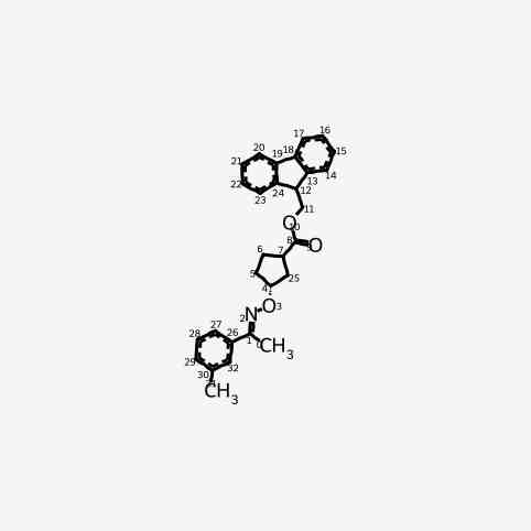 C/C(=N\O[C@@H]1CCC(C(=O)OCC2c3ccccc3-c3ccccc32)C1)c1cccc(C)c1